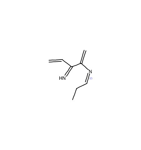 C=CC(=N)C(=C)/N=C\CC